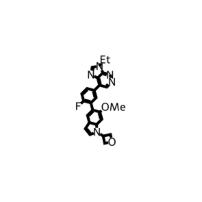 CCn1cnc2c(-c3ccc(F)c(C4=CC5C=CN(C6COC6)C5C=C4OC)c3)cnnc21